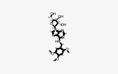 COc1cc(OC)c(OC)cc1CNc1ncnc2c1ncn2C1O[C@H](CO)[C@@H](O)[C@@H]1O